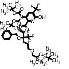 C[C@@H](COCCC[C@@](OCc1ccccc1)(c1nnc(-c2nc(O)c(C(F)(F)F)cc2N(C(=O)OC(C)(C)C)C(=O)OC(C)(C)C)o1)C(F)(F)F)O[Si](C)(C)C(C)(C)C